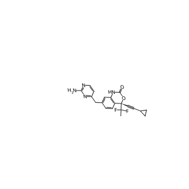 CC(F)(F)[C@@]1(C#CC2CC2)OC(=O)Nc2cc(Cc3ccnc(N)n3)ccc21